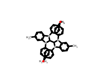 Cc1ccc(N2c3ccc(C)cc3N(c3ccc(C)cc3)C2C2N(c3ccc(C)cc3)c3ccc(C)cc3N2c2ccc(C)cc2)cc1